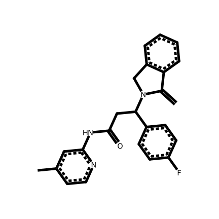 C=C1c2ccccc2CN1C(CC(=O)Nc1cc(C)ccn1)c1ccc(F)cc1